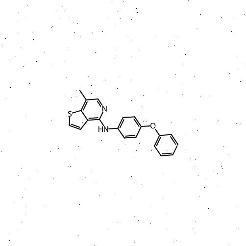 Cc1cnc(Nc2ccc(Oc3ccccc3)cc2)c2ccsc12